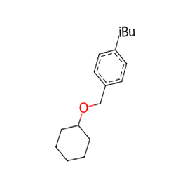 CCC(C)c1ccc(COC2CCCCC2)cc1